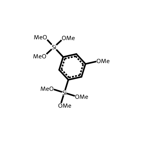 COc1cc([Si](OC)(OC)OC)cc([Si](OC)(OC)OC)c1